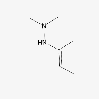 C/C=C(\C)NN(C)C